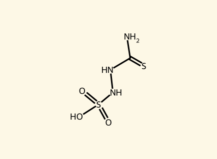 NC(=S)NNS(=O)(=O)O